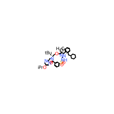 Cc1cccc(CC2CCCCC2)c1-c1nc2nc(c1C)OC[C@@H](CC(C)(C)C)N(Cc1ncc(OC(C)C)cn1)C(=O)c1cccc(c1)S(=O)(=O)N2